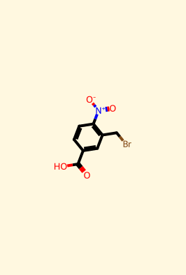 O=C(O)c1ccc([N+](=O)[O-])c(CBr)c1